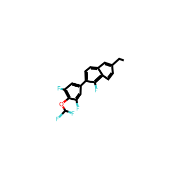 CCc1ccc2c(F)c(-c3cc(F)c(OC(F)F)c(F)c3)ccc2c1